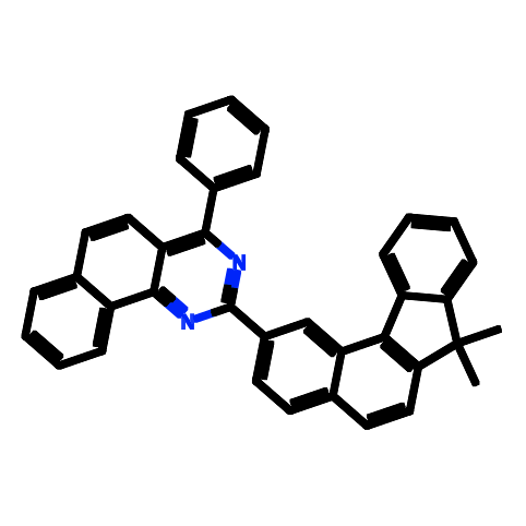 CC1(C)c2ccccc2-c2c1ccc1ccc(-c3nc(-c4ccccc4)c4ccc5ccccc5c4n3)cc21